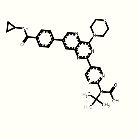 CC(C)(C)N(C(=O)O)c1ncc(-c2nc(N3CCOCC3)c3ncc(-c4ccc(C(=O)NC5CC5)cc4)cc3n2)cn1